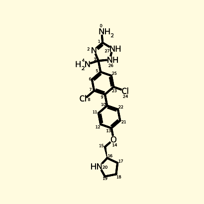 NC1=NC(N)(c2cc(Cl)c(-c3ccc(OC[C@H]4CCCN4)cc3)c(Cl)c2)NN1